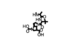 CNC(C)C(=O)NC(C(=O)N1CC=C2C1C(C(=O)O)CN2C(=O)O)C(C)(C)C